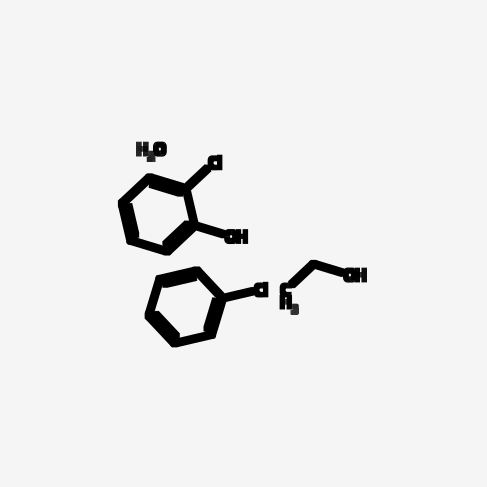 CCO.Clc1ccccc1.O.Oc1ccccc1Cl